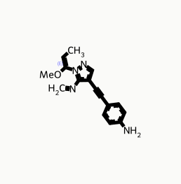 C=Nc1c(C#Cc2ccc(N)cc2)cnn1/C(=C\C)OC